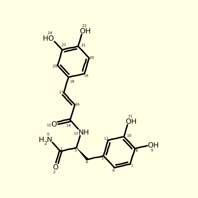 NC(=O)[C@H](Cc1ccc(O)c(O)c1)NC(=O)C=Cc1ccc(O)c(O)c1